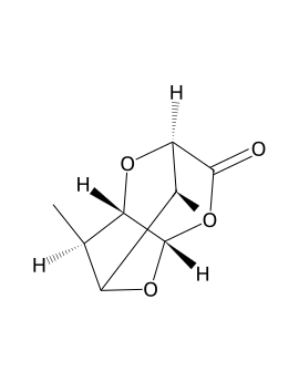 C[C@@H]1C2O[C@H]3OC(=O)[C@H](O[C@H]31)[C@H]2C